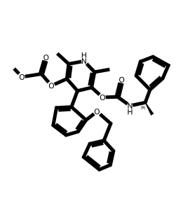 COC(=O)OC1=C(C)NC(C)=C(OC(=O)N[C@H](C)c2ccccc2)C1c1ccccc1OCc1ccccc1